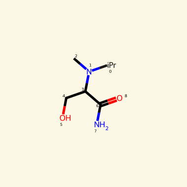 CC(C)N(C)C(CO)C(N)=O